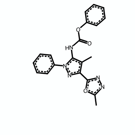 Cc1nnc(-c2nn(-c3ccccc3)c(NC(=O)Oc3ccccc3)c2C)o1